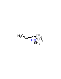 C=C(CC=C/C=C\CC)C(C)NC